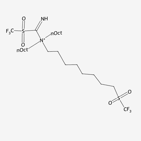 CCCCCCCC[N+](CCCCCCCC)(CCCCCCCCS(=O)(=O)C(F)(F)F)C(=N)S(=O)(=O)C(F)(F)F